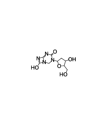 O=C1N=C2N=C(O)N2CN1C1CC(O)C(CO)O1